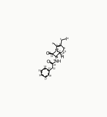 CC1=C(CI)CS[C@@H]2[C@H](NC(=O)Cc3ccccc3)C(=O)N12